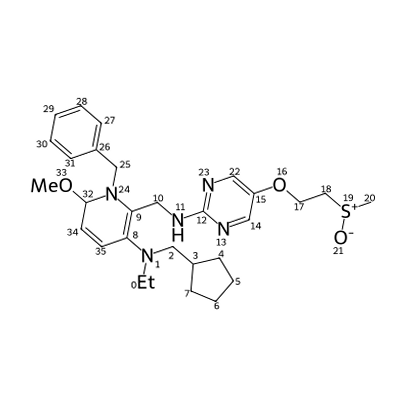 CCN(CC1CCCC1)C1=C(CNc2ncc(OCC[S+](C)[O-])cn2)N(Cc2ccccc2)C(OC)C=C1